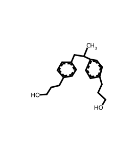 CC(Cc1ccc(CCCO)cc1)c1ccc(CCCO)cc1